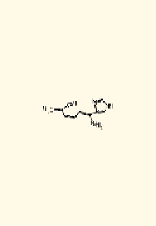 C=C(O)/C=C\C=C(/N)c1c[nH]cn1